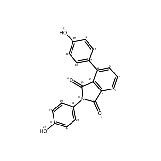 O=C1c2cccc(-c3ccc(O)cc3)c2C(=O)N1c1ccc(O)cc1